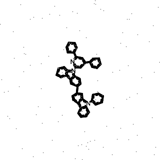 c1ccc(-c2cc(-c3ccccc3)nc(-n3c4ccccc4c4cc(-c5ccc6c7ccccc7n(-c7ccccc7)c6c5)ccc43)c2)cc1